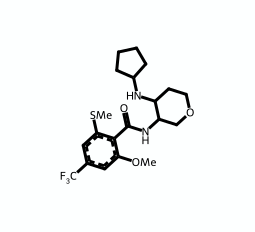 COc1cc(C(F)(F)F)cc(SC)c1C(=O)NC1COCCC1NC1CCCC1